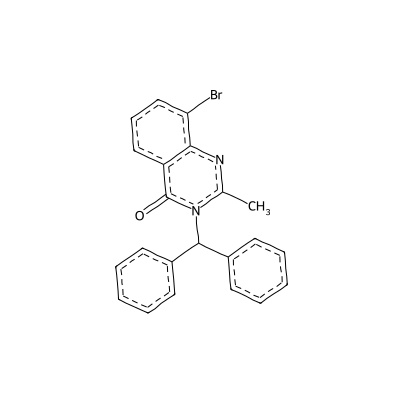 Cc1nc2c(Br)cccc2c(=O)n1C(c1ccccc1)c1ccccc1